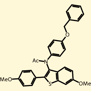 COc1ccc(-c2sc3cc(OC)ccc3c2N(C(C)=O)c2ccc(OCc3ccccc3)cc2)cc1